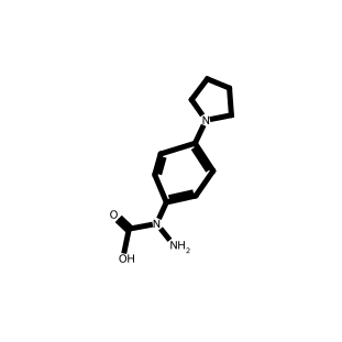 NN(C(=O)O)c1ccc(N2CCCC2)cc1